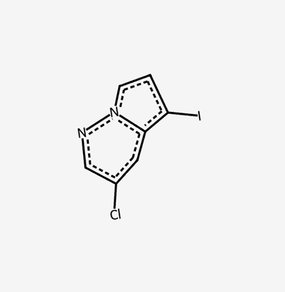 Clc1cnn2ccc(I)c2c1